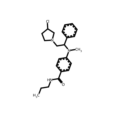 CCCNC(=O)c1ccc(N(C)C(CN2CCC(Cl)C2)c2ccccc2)cc1